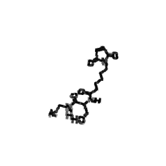 CC(=O)CNC(=O)C(CO)NC(=O)CCCCCN1C(=O)C=CC1=O